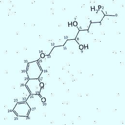 CC(P)CCCC(O)C(O)CCCCOC1=CC2OC(=O)C(c3ccccc3)=CC2C=C1